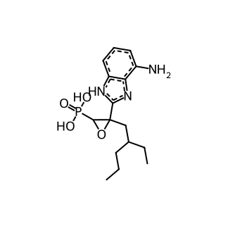 CCCC(CC)CC1(c2nc3c(N)cccc3[nH]2)OC1P(=O)(O)O